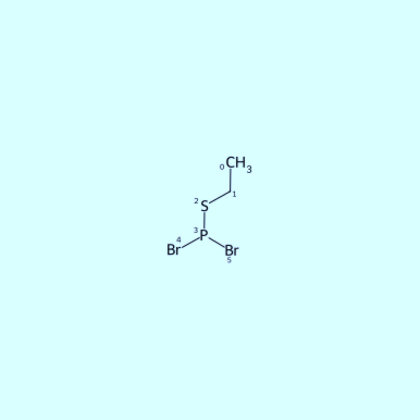 CCSP(Br)Br